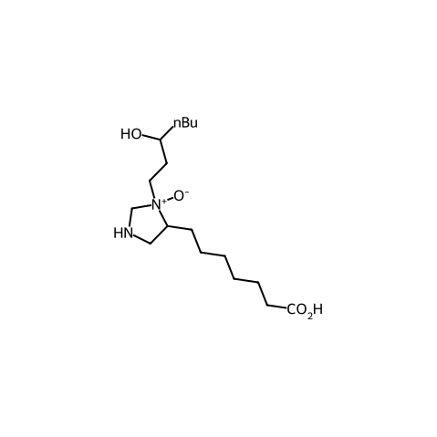 CCCCC(O)CC[N+]1([O-])CNCC1CCCCCCC(=O)O